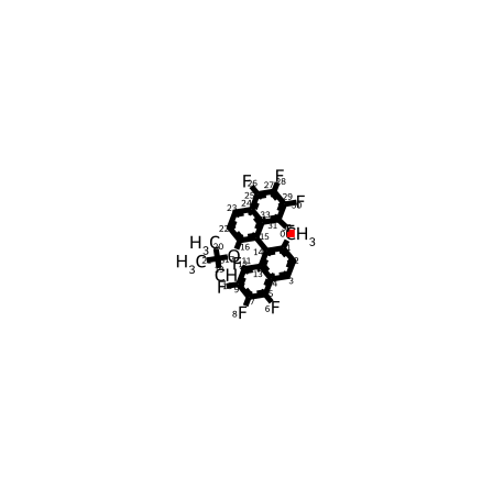 Cc1ccc2c(F)c(F)c(F)c(F)c2c1-c1c(OC(C)(C)C)ccc2c(F)c(F)c(F)c(F)c12